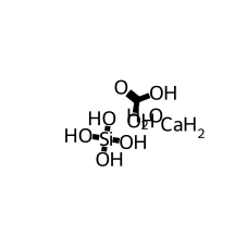 O.O=C(O)O.O[Si](O)(O)O.[CaH2]